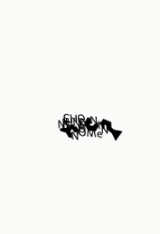 COc1ncc2cnn(C)c2c1NS(=O)(=O)c1ccc(-n2ccc(C3CC3)n2)nc1